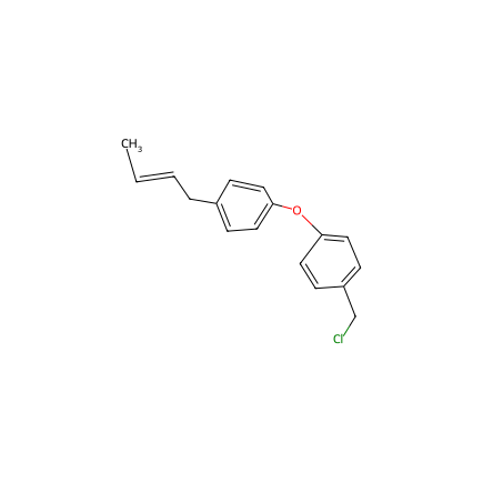 CC=CCc1ccc(Oc2ccc(CCl)cc2)cc1